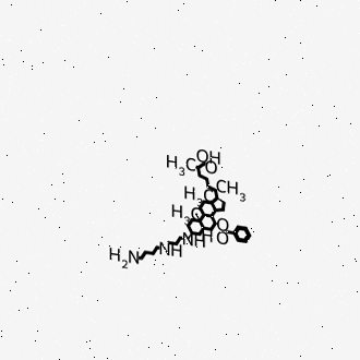 CC(CCC[C@@H](C)[C@H]1CCC2C3C(CC[C@@]21C)[C@@]1(C)CC[C@H](NCCCNCCCCN)C[C@@H]1C[C@H]3OC(=O)c1ccccc1)C(=O)O